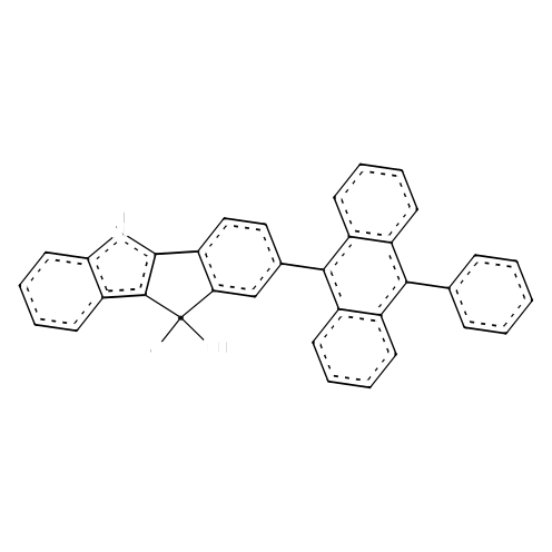 CC1(C)c2cc(-c3c4ccccc4c(-c4ccccc4)c4ccccc34)ccc2-c2[nH]c3ccccc3c21